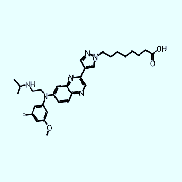 COc1cc(F)cc(N(CCNC(C)C)c2ccc3ncc(-c4cnn(CCCCCCCC(=O)O)c4)nc3c2)c1